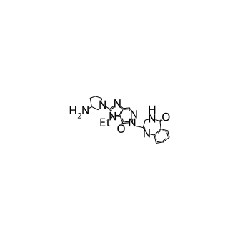 CCn1c(N2CCCC(N)C2)nc2cnn(CC3=Nc4ccccc4C(=O)NC3)c(=O)c21